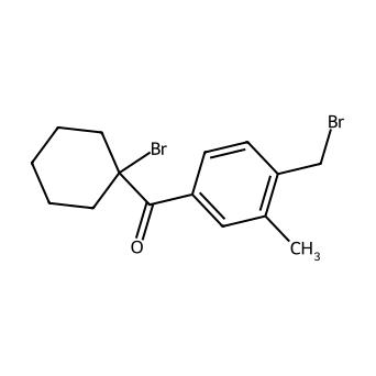 Cc1cc(C(=O)C2(Br)CCCCC2)ccc1CBr